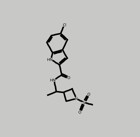 CC(NC(=O)c1cc2cc(Cl)ccc2[nH]1)C1CN(S(C)(=O)=O)C1